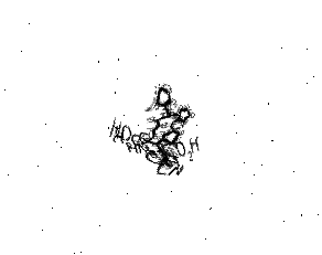 CC1NC(C)C(CCCCC(c2ccccc2)c2ccccc2)(C(=O)O)C(c2cccc(Cl)c2)C1(CCC#N)C(=O)O